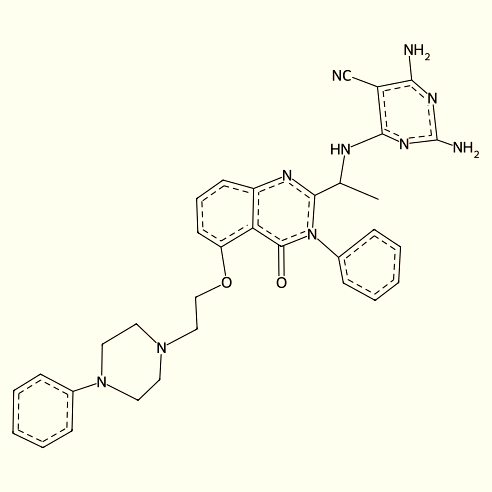 CC(Nc1nc(N)nc(N)c1C#N)c1nc2cccc(OCCN3CCN(c4ccccc4)CC3)c2c(=O)n1-c1ccccc1